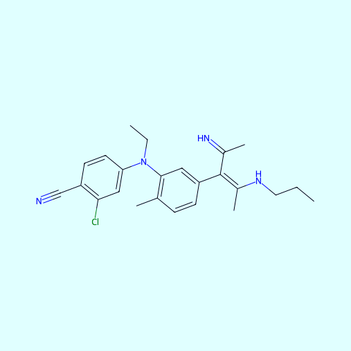 CCCN/C(C)=C(\C(C)=N)c1ccc(C)c(N(CC)c2ccc(C#N)c(Cl)c2)c1